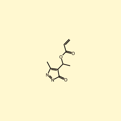 C=CC(=O)OC(C)C1=C(C)N=NC1=O